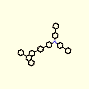 c1ccc(-c2ccc(N(c3ccc(-c4ccccc4)cc3)c3ccc(-c4ccc(-c5ccc6c(-c7ccccc7)cc7ccccc7c6c5)cc4)cc3)cc2)cc1